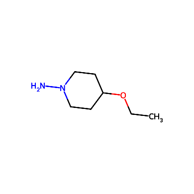 CCOC1CCN(N)CC1